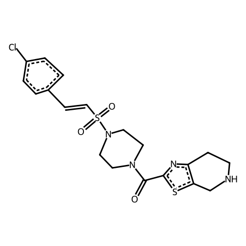 O=C(c1nc2c(s1)CNCC2)N1CCN(S(=O)(=O)C=Cc2ccc(Cl)cc2)CC1